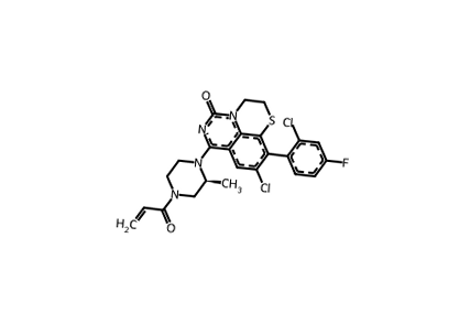 C=CC(=O)N1CCN(c2nc(=O)n3c4c(c(-c5ccc(F)cc5Cl)c(Cl)cc24)SCC3)[C@@H](C)C1